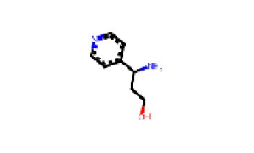 NC(CCO)c1ccncc1